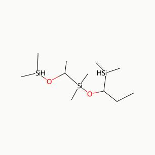 CCC(O[Si](C)(C)C(C)O[SiH](C)C)[SiH](C)C